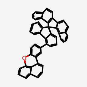 c1ccc2c(c1)-c1c(-c3ccc4c(c3)-c3cccc5cccc(c35)O4)cccc1C21c2c(ccc3ccccc23)-c2ccc3ccccc3c21